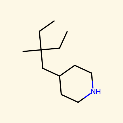 CCC(C)(CC)CC1CCNCC1